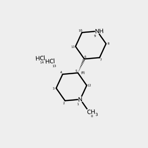 CN1CCC[C@H](C2CCNCC2)C1.Cl.Cl